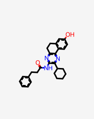 O=C(CCc1ccccc1)Nc1nc2c(nc1C1CCCCC1)-c1ccc(O)cc1CC2